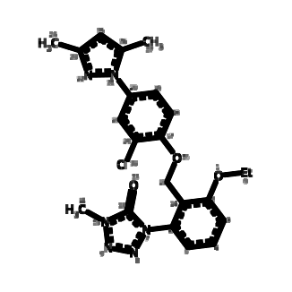 CCOc1cccc(-n2nnn(C)c2=O)c1COc1ccc(-n2nc(C)cc2C)cc1Cl